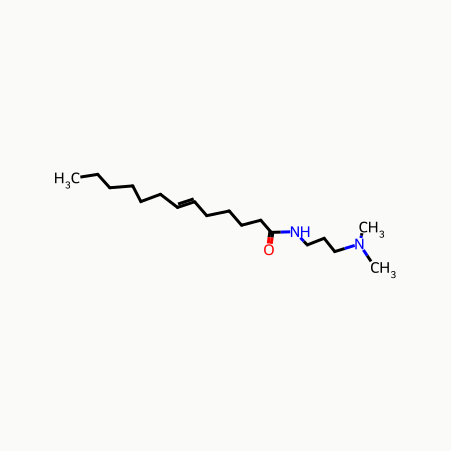 CCCCCCC=CCCCCC(=O)NCCCN(C)C